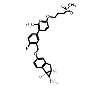 Cc1nc(OCCCS(C)(=O)=O)ccc1-c1ccc(F)c(COc2ccc3c(c2)C[C@H]2[C@H](C)[C@@H]32)c1